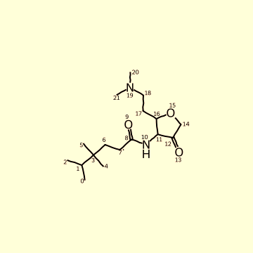 CC(C)C(C)(C)C[CH]C(=O)NC1C(=O)COC1CCN(C)C